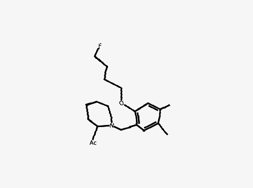 CC(=O)C1CCCCN1Cc1cc(C)c(C)cc1OCCCCF